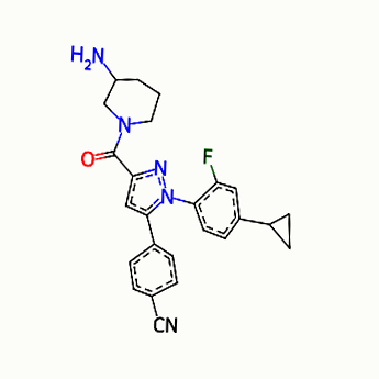 N#Cc1ccc(-c2cc(C(=O)N3CCCC(N)C3)nn2-c2ccc(C3CC3)cc2F)cc1